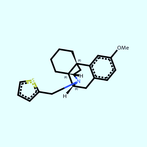 COc1ccc2c(c1)[C@@]13CCCC[C@H]1[C@@H](C2)N(Cc1cccs1)CC3